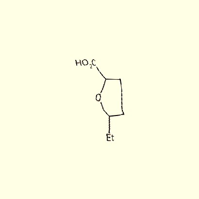 CCC1CCC(C(=O)O)O1